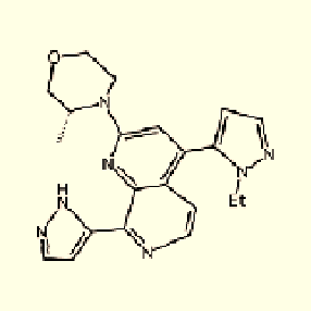 CCn1nccc1-c1cc(N2CCOC[C@H]2C)nc2c(-c3ccn[nH]3)nccc12